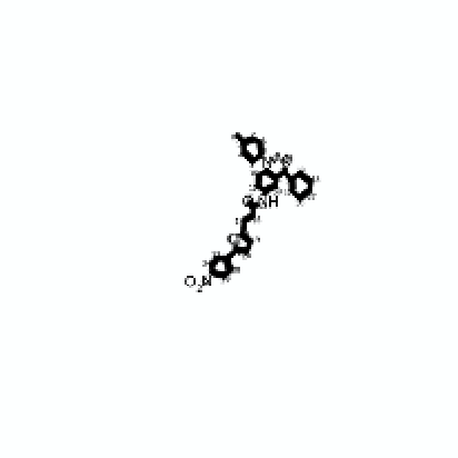 CC(=O)N(c1ccc(C)cc1)c1ccc(NC(=O)C=Cc2ccc(-c3ccc([N+](=O)[O-])cc3)o2)cc1C(=O)c1ccccc1